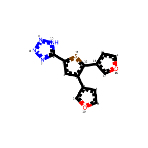 c1cc(-c2cc(-c3nnn[nH]3)sc2-c2ccoc2)co1